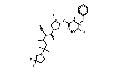 CC(CC(C)(C)N1CCC(F)(F)C1)C(C#N)C(=O)N1C[C@H](F)[C@H](OC(=O)N[C@@H](Cc2ccccc2)B(O)O)C1